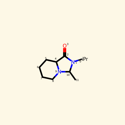 CC(C)N1C(=O)C2CCCCN2C1C